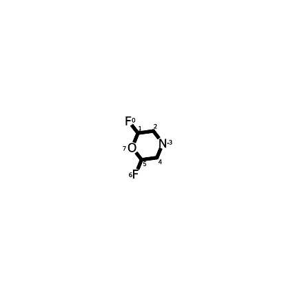 FC1C[N]CC(F)O1